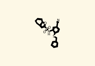 N#Cc1ccc(SCc2ccccc2)c(NS(=O)(=O)c2cc3c(o2)C=CCC3)c1